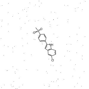 CS(=O)(=O)c1ccc(-c2cc3cc(Cl)ccc3[nH]2)cc1